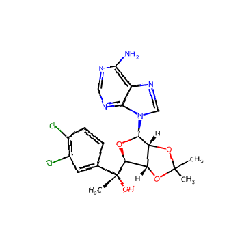 CC1(C)O[C@@H]2[C@H](O1)[C@@H]([C@](C)(O)c1ccc(Cl)c(Cl)c1)O[C@H]2n1cnc2c(N)ncnc21